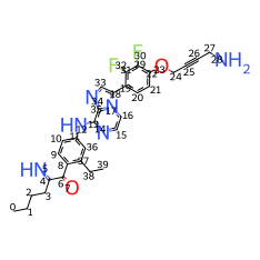 CCCCC(=N)C(=O)c1ccc(Nc2nccn3c(-c4ccc(OCC#CCN)c(F)c4F)cnc23)cc1CC